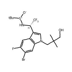 CC(C)(CO)Cn1cc([C@H](N[S+]([O-])C(C)(C)C)C(F)(F)F)c2cc(F)c(Br)cc21